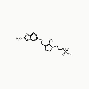 CC1=C(COc2ccc3oc(C)cc3c2)SCN1CCNS(C)(=O)=O